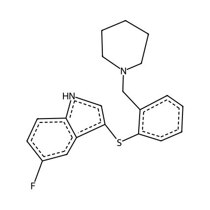 Fc1ccc2[nH]cc(Sc3ccccc3CN3CCCCC3)c2c1